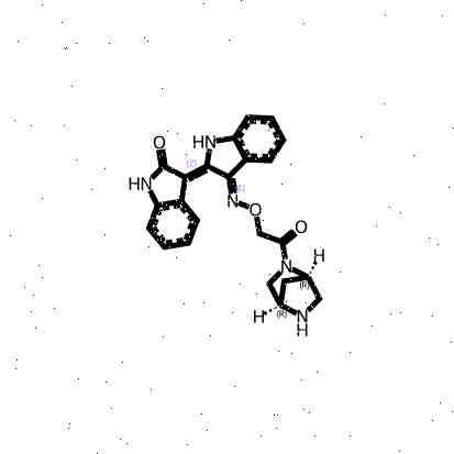 O=C1Nc2ccccc2/C1=C1/Nc2ccccc2/C1=N\OCC(=O)N1C[C@H]2C[C@@H]1CN2